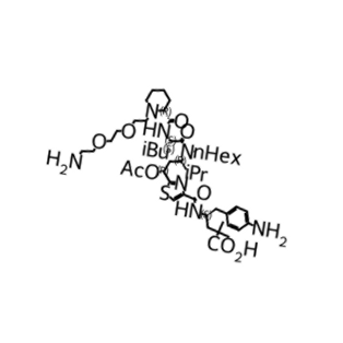 CCCCCCN(C(=O)[C@@H](NC(=O)[C@H]1CCCCN1CCOCCOCCN)[C@@H](C)CC)[C@H](C[C@@H](OC(C)=O)c1nc(C(=O)N[C@@H](Cc2ccc(N)cc2)CC(C)(C)C(=O)O)cs1)C(C)C